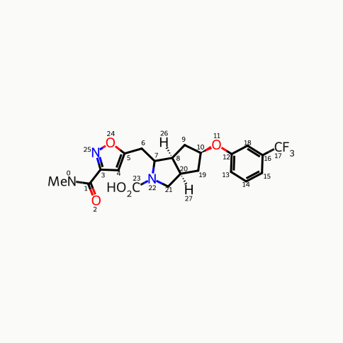 CNC(=O)c1cc(CC2[C@H]3C[C@@H](Oc4cccc(C(F)(F)F)c4)C[C@H]3CN2C(=O)O)on1